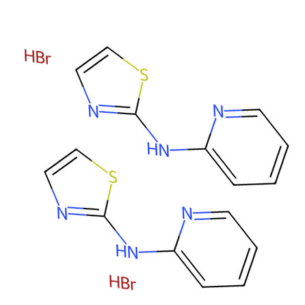 Br.Br.c1ccc(Nc2nccs2)nc1.c1ccc(Nc2nccs2)nc1